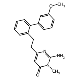 COc1cccc(-c2ccccc2CCc2cc(=O)n(C)c(N)n2)c1